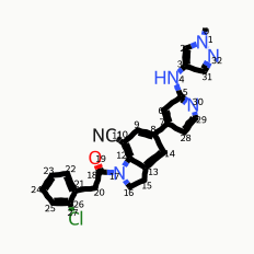 Cn1cc(Nc2cc(-c3cc(C#N)c4c(c3)CCN4C(=O)Cc3ccccc3Cl)ccn2)cn1